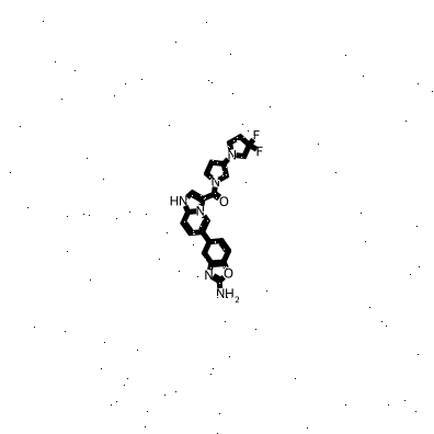 Nc1nc2c(o1)C=CC(C1=CN3C(C(=O)N4CCC(N5CCC(F)(F)C5)C4)=CNC3C=C1)C2